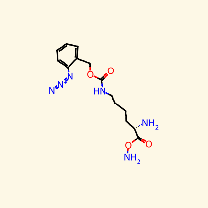 [N-]=[N+]=Nc1ccccc1COC(=O)NCCCC[C@H](N)C(=O)ON